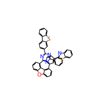 c1ccc(-c2nc(-c3ccc4c(c3)sc3ccccc34)nc(-c3cccc4oc5cccc(-c6cccc(-c7nc8ccccc8s7)c6)c5c34)n2)cc1